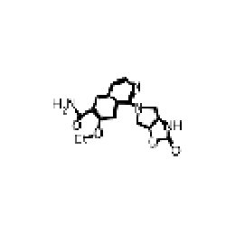 CCOc1cc2c(N3CC4NC(=O)OC4C3)nccc2cc1C(N)=O